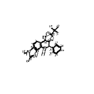 Cc1nc2c3c(ccc2n1C)C(=O)C(OC(=O)C(C)(C)C)C(c1ccccc1)N3